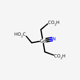 [N]#[Gd]([CH2]C(=O)O)([CH2]C(=O)O)[CH2]C(=O)O